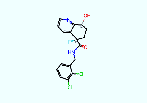 O=C(NCc1cccc(Cl)c1Cl)[C@@]1(F)CC[C@@H](O)c2ncccc21